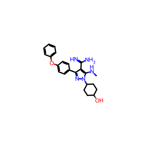 CNc1c(C(=N)N)c(-c2ccc(Oc3ccccc3)cc2)nn1C1CCC(O)CC1